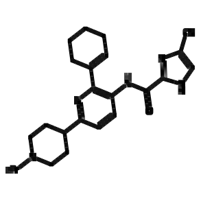 CCCN1CCC(c2ccc(NC(=O)c3nc(C#N)c[nH]3)c(C3=CCCCC3)n2)CC1